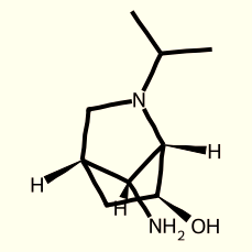 CC(C)N1C[C@H]2C[C@H](O)[C@@H]1[C@@H]2N